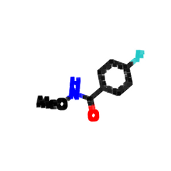 CONC(=O)c1ccc(F)cc1